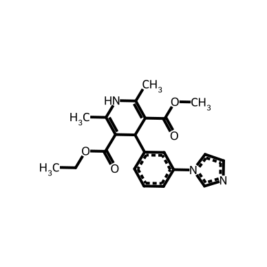 CCOC(=O)C1=C(C)NC(C)=C(C(=O)OC)C1c1cccc(-n2ccnc2)c1